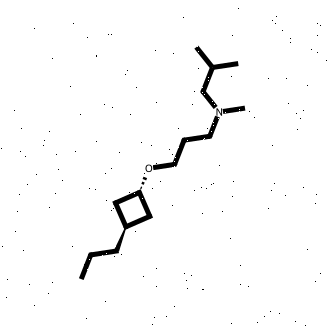 CCC[C@H]1C[C@H](OCCCN(C)CC(C)C)C1